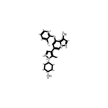 Cc1c(-c2cc(Sc3ncccc3F)c3c(C#N)cnn3c2)cnn1[C@H]1CC[C@@H](O)CC1